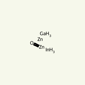 [GaH3].[InH3].[O]=[Zn].[Zn]